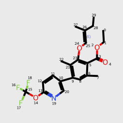 CCOC(=O)c1c(C)cc(-c2ccc(OC(F)(F)F)nc2)c(C)c1O/C=C(\C)CC